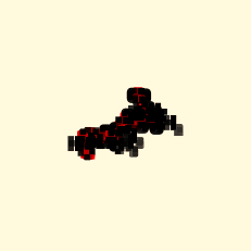 Cc1c(-c2ccc(N3CCc4cccc(C(=O)Nc5nc6ccccc6s5)c4C3)nc2C(=O)O)cnn1CC12CC3(C)CC(C)(C1)CC(OCCN(CCCC(=O)O)C(=O)OCc1ccc(NC(=O)[C@H](CCCNC(N)=O)NC(O)[C@@H](NC(=O)CCCCCN4C(=O)C=CC4=O)C(C)C)cc1)(C3)C2